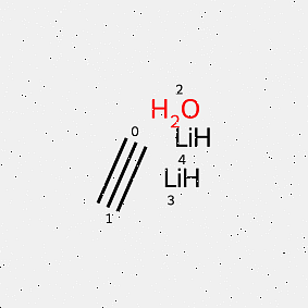 C#C.O.[LiH].[LiH]